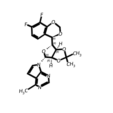 Cc1ncnc2c1ccn2[C@@H]1O[C@H]([C@@H]2OCOc3c2ccc(F)c3F)[C@H]2OC(C)(C)O[C@H]21